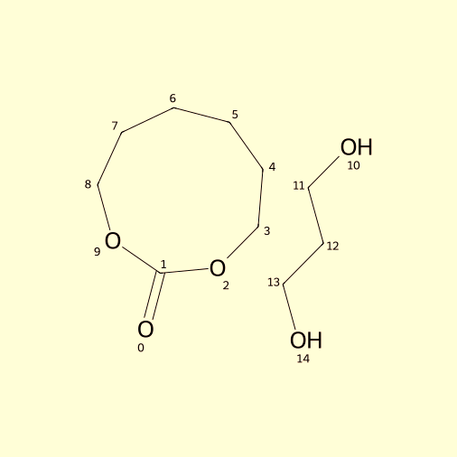 O=C1OCCCCCCO1.OCCCO